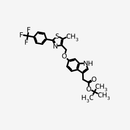 Cc1sc(-c2ccc(C(F)(F)F)cc2)nc1COc1ccc2c(CC(=O)OC(C)(C)C)c[nH]c2c1